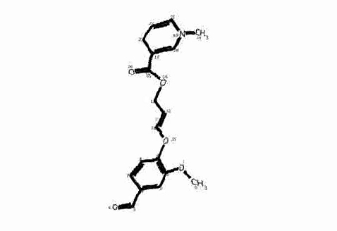 COc1cc(C=O)ccc1O/C=C/COC(=O)C1=CN(C)C=CC1